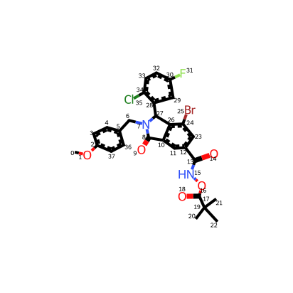 COc1ccc(CN2C(=O)c3cc(C(=O)NOC(=O)C(C)(C)C)cc(Br)c3C2c2cc(F)ccc2Cl)cc1